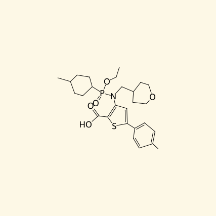 CCOP(=O)(C1CCC(C)CC1)N(CC1CCOCC1)c1cc(-c2ccc(C)cc2)sc1C(=O)O